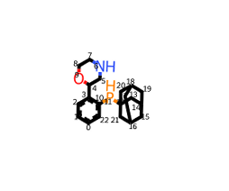 c1ccc(C2CNCCO2)c(PC23CC4CC(CC(C4)C2)C3)c1